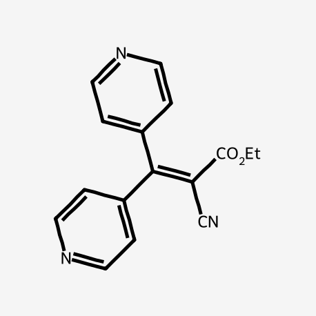 CCOC(=O)C(C#N)=C(c1ccncc1)c1ccncc1